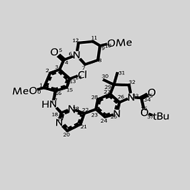 COc1cc(C(=O)N2CCC(OC)CC2)c(Cl)cc1Nc1nccc(-c2cnc3c(c2)C(C)(C)CN3C(=O)OC(C)(C)C)n1